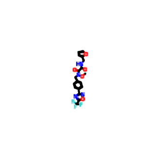 CON(Cc1ccc(-c2noc(C(F)(F)F)n2)cc1)C(=O)C(=O)NCc1ccco1